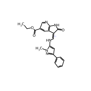 CCOC(=O)c1cnc2c(c1)/C(=C\Nc1cc(-c3ccccc3)nn1C)C(=O)N2